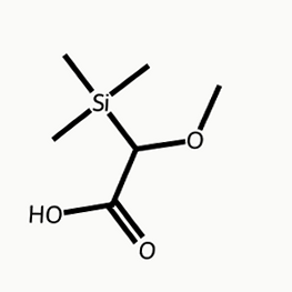 COC(C(=O)O)[Si](C)(C)C